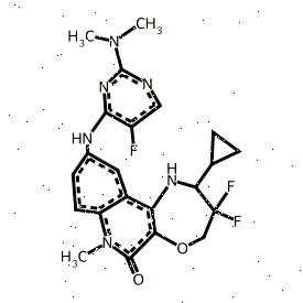 CN(C)c1ncc(F)c(Nc2ccc3c(c2)c2c(c(=O)n3C)OCC(F)(F)C(C3CC3)N2)n1